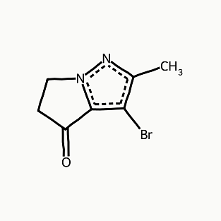 Cc1nn2c(c1Br)C(=O)CC2